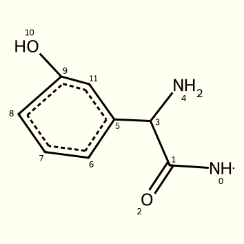 [NH]C(=O)C(N)c1cccc(O)c1